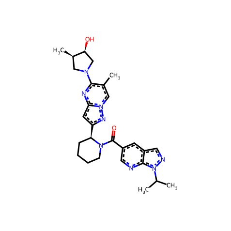 Cc1cn2nc([C@@H]3CCCCN3C(=O)c3cnc4c(cnn4C(C)C)c3)cc2nc1N1C[C@@H](C)[C@@H](O)C1